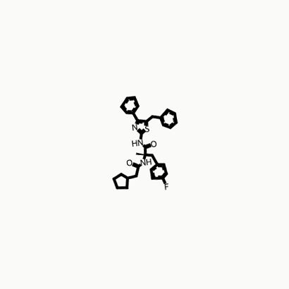 C[C@@](Cc1ccc(F)cc1)(NC(=O)CC1CCCC1)C(=O)Nc1nc(-c2ccccc2)c(Cc2ccccc2)s1